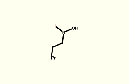 CC(C)CCN(O)I